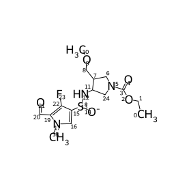 CCOC(=O)N1CC(COC)C(N[S+]([O-])c2cn(C)c(C=O)c2F)C1